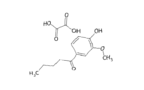 CCCCC(=O)c1ccc(O)c(OC)c1.O=C(O)C(=O)O